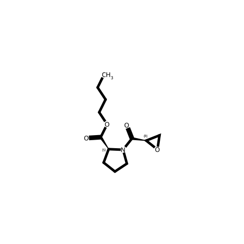 CCCCOC(=O)[C@@H]1CCCN1C(=O)[C@H]1CO1